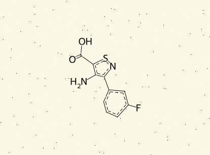 Nc1c(-c2cccc(F)c2)nsc1C(=O)O